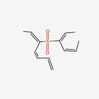 C=C/C=C\C(=C/C)S(=O)(=O)C(/C=C\C)=C/C